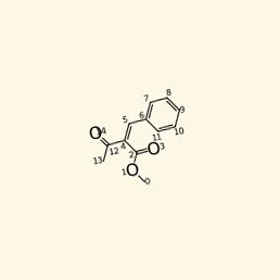 COC(=O)/C(=C\c1ccccc1)C(C)=O